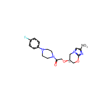 O=C(CO[C@@H]1COc2nc([N+](=O)[O-])cn2C1)N1CCN(c2ccc(F)cc2)CC1